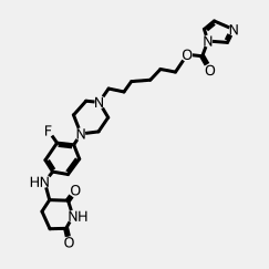 O=C1CCC(Nc2ccc(N3CCN(CCCCCCOC(=O)n4ccnc4)CC3)c(F)c2)C(=O)N1